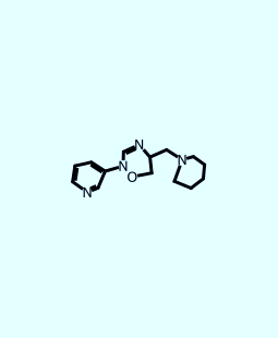 C1=NC(CN2CCCCC2)CON1c1cccnc1